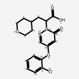 O=C(O)C(CC1CCOCC1)n1ncc(Oc2ccccc2Cl)cc1=O